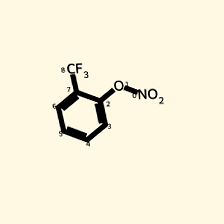 O=[N+]([O-])Oc1ccccc1C(F)(F)F